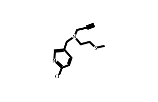 C#CCN(CCSC)Cc1ccc(Cl)nc1